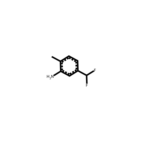 Cc1ccc(C(F)F)cc1N